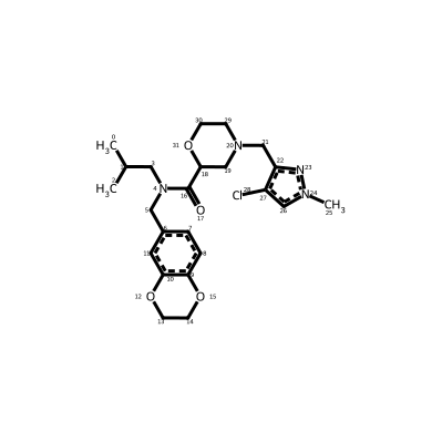 CC(C)CN(Cc1ccc2c(c1)OCCO2)C(=O)C1CN(Cc2nn(C)cc2Cl)CCO1